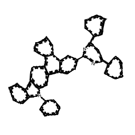 c1ccc(-c2cc(-c3ccccc3)nc(-c3ccc4c(c3)c3ccccc3c3cc5c6ccccc6n(-c6ccccc6)c5cc43)n2)cc1